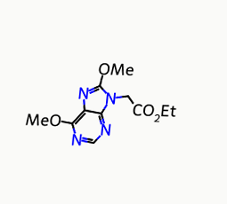 CCOC(=O)Cn1c(OC)nc2c(OC)ncnc21